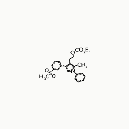 CCOC(=O)OCCc1c(-c2cccc(S(C)(=O)=O)c2)cn(-c2ccccc2)c1C